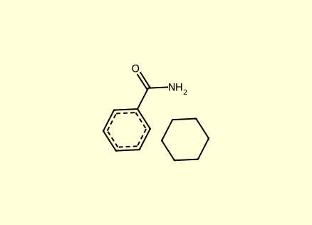 C1CCCCC1.NC(=O)c1ccccc1